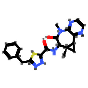 CN1C(=O)[C@H](NC(=O)c2nnc(Cc3ccccc3)s2)[C@@H]2CC2c2nccnc21